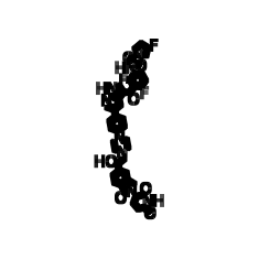 O=C1CCC(N2Cc3cc([C@@H](O)CN4CCN(c5ccc(-c6cnc7[nH]cc(C(=O)c8c(F)ccc(NS(=O)(=O)N9CC[C@@H](F)C9)c8F)c7c6)cc5)CC4)ccc3C2=O)C(=O)N1